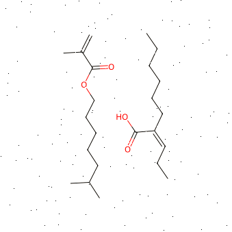 C=C(C)C(=O)OCCCCCC(C)C.CCC=C(CCCCCC)C(=O)O